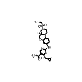 C=CS(=O)(=O)N1CCN2c3ccc(Nc4ncc(C(N)=O)c(NC5CC5)n4)cc3OC[C@H]2C1